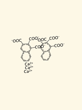 O=C([O-])c1cc2ccccc2c(C(=O)[O-])c1C(=O)[O-].O=C([O-])c1cc2ccccc2c(C(=O)[O-])c1C(=O)[O-].[Ca+2].[Ca+2].[Ca+2]